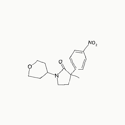 CC1(c2ccc([N+](=O)[O-])cc2)CCN(C2CCOCC2)C1=O